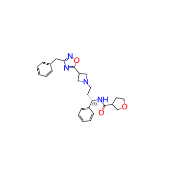 O=C(N[C@@H](CCN1CC(c2nc(Cc3ccccc3)no2)C1)c1ccccc1)C1CCOC1